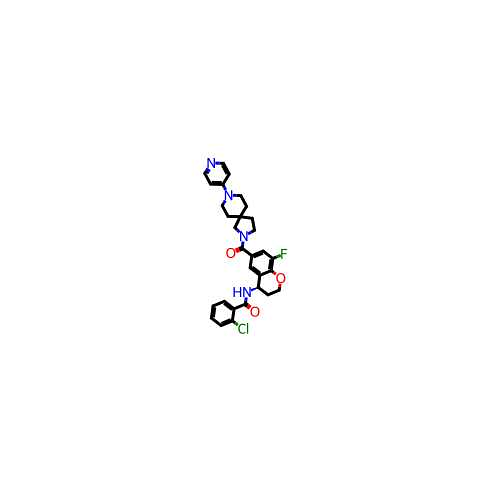 O=C(N[C@@H]1CCOc2c(F)cc(C(=O)N3CCC4(CCN(c5ccncc5)CC4)C3)cc21)c1ccccc1Cl